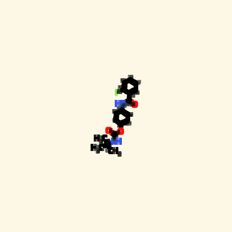 CC(C)(C)NC(=O)Oc1ccc(NC(=O)c2ccccc2F)cc1